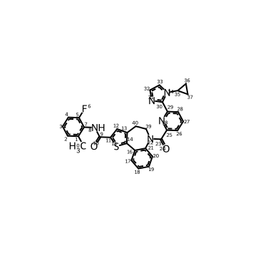 Cc1cccc(F)c1NC(=O)c1cc2c(s1)-c1ccccc1N(C(=O)c1cccc(-c3nccn3C3CC3)n1)CC2